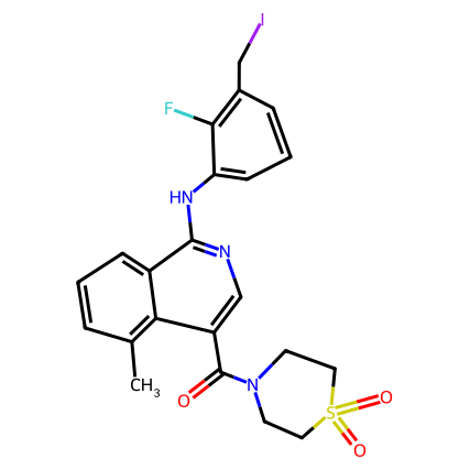 Cc1cccc2c(Nc3cccc(CI)c3F)ncc(C(=O)N3CCS(=O)(=O)CC3)c12